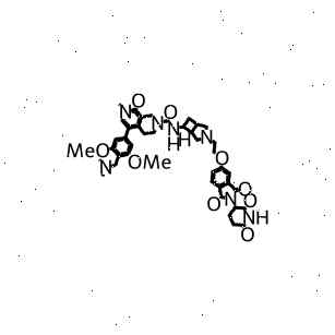 COc1cc(-c2cn(C)c(=O)c3c2CCN(C(=O)NC2CC4CN(CCOc5ccc6c(c5)C(=O)N(C5CCC(=O)NC5=O)C6=O)C[C@@H]42)C3)cc(OC)c1CN(C)C